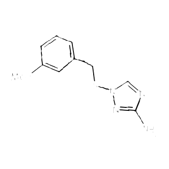 COc1cccc(CSn2cnc(N)n2)c1